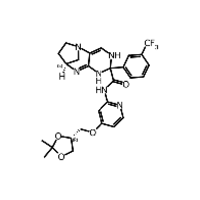 CC1(C)OC[C@@H](COc2ccnc(NC(=O)C3(c4cccc(C(F)(F)F)c4)NC=C4C(=N[C@H]5CCN4C5)N3)c2)O1